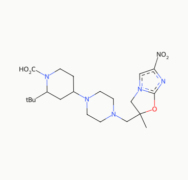 CC1(CN2CCN(C3CCN(C(=O)O)C(C(C)(C)C)C3)CC2)Cn2cc([N+](=O)[O-])nc2O1